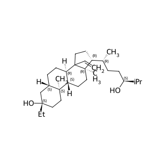 C=CC12CC[C@H]([C@H](C)CC[C@H](O)C(C)C)[C@@]1(C)CC[C@H]1[C@H]2CC[C@H]2C[C@](O)(CC)CC[C@@]21C